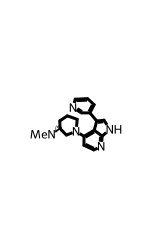 CN[C@H]1CCCN(c2ccnc3[nH]cc(-c4cccnc4)c23)C1